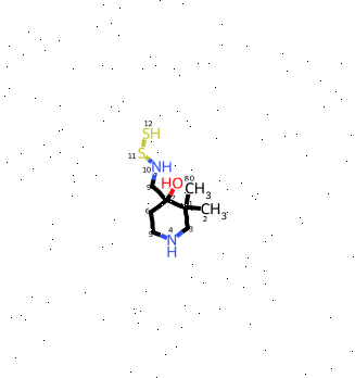 CC1(C)CNCCC1(O)CNSS